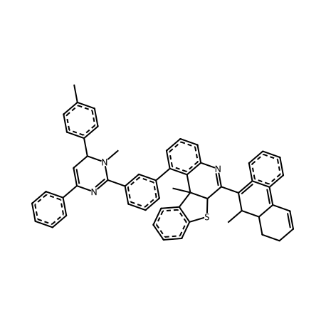 Cc1ccc(C2C=C(c3ccccc3)N=C(c3cccc(-c4cccc5c4C4(C)c6ccccc6SC4C(C4=c6ccccc6=C6C=CCCC6C4C)=N5)c3)N2C)cc1